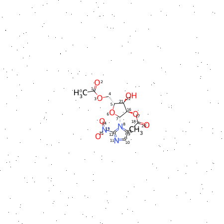 CC(=O)OC[C@H]1O[C@@H](n2ccnc2[N+](=O)[O-])[C@H](OC(C)=O)[C@@H]1O